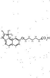 CC1=Nc2ccc3ccc(OCCCCCC(=O)O)cc3c2C1(C)C